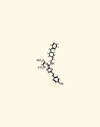 N#Cc1ccc(C=Cc2nnc(C(=O)NCCC3CCN(Cc4ccccc4)CC3)o2)cc1.O=C(O)C=CC(=O)O